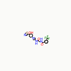 O=C(CNC(=O)c1cccc(C(F)(F)F)c1)NC1CN([C@H]2CC[C@@](O)(c3cncs3)CC2)C1